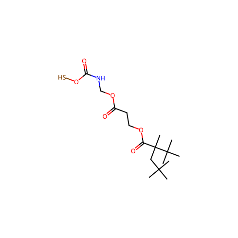 CC(C)(C)CC(C)(C(=O)OCCC(=O)OCNC(=O)OS)C(C)(C)C